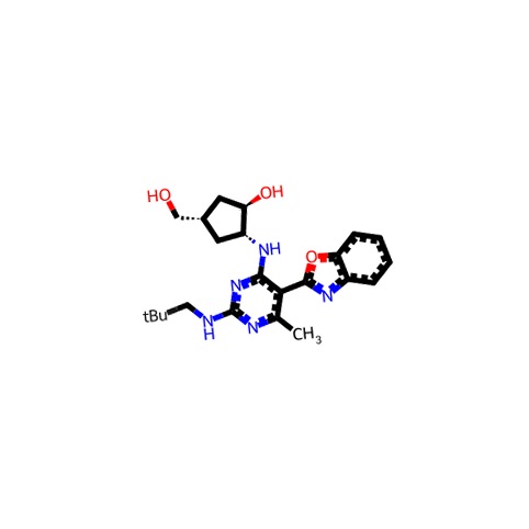 Cc1nc(NCC(C)(C)C)nc(N[C@@H]2C[C@H](CO)C[C@H]2O)c1-c1nc2ccccc2o1